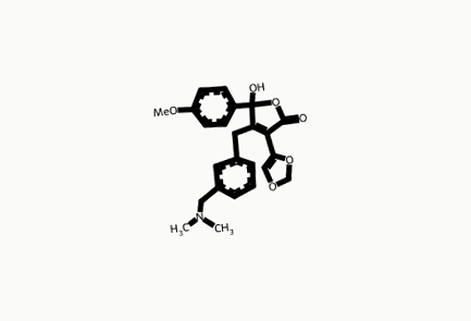 COc1ccc(C2(O)OC(=O)C(C3=COCO3)=C2Cc2cccc(CN(C)C)c2)cc1